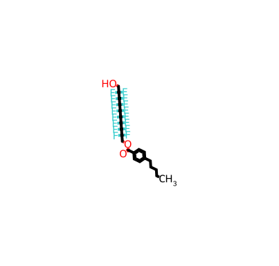 CCCCCc1ccc(C(=O)OCC(F)(F)C(F)(F)C(F)(F)C(F)(F)C(F)(F)C(F)(F)C(F)(F)C(F)(F)CO)cc1